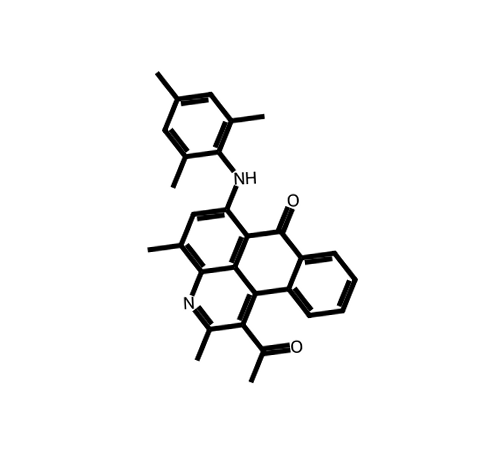 CC(=O)c1c(C)nc2c(C)cc(Nc3c(C)cc(C)cc3C)c3c2c1-c1ccccc1C3=O